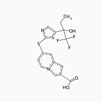 CCC(O)(c1cnc(Sc2ccn3cc(C(=O)O)cc3c2)s1)C(F)(F)F